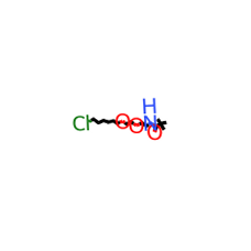 CC(C)(C)C(=O)NCCOCCOCCCCCCCl